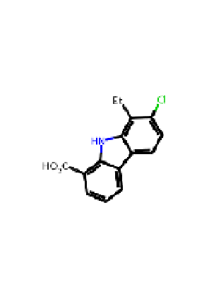 CCc1c(Cl)ccc2c1[nH]c1c(C(=O)O)cccc12